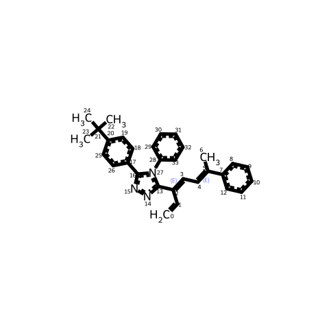 C=C/C(=C\C=C(/C)c1ccccc1)c1nnc(-c2ccc(C(C)(C)C)cc2)n1-c1ccccc1